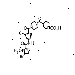 Cn1c(Br)cnc1C(=O)Nc1ccc(C(=O)N2CCN(C(=O)C3CCN(C(=O)O)CC3)CC2)c(Cl)c1